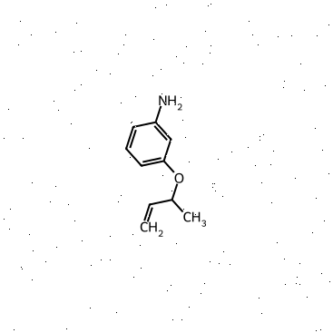 C=CC(C)Oc1cccc(N)c1